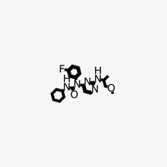 COCC(C)Nc1nccc(N(C(=O)NC2CCCCC2)c2cccc(F)c2)n1